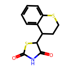 O=C1NC(=O)C(C2CCSc3ccccc32)S1